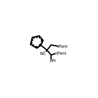 CCCCCC(CCC)C(C#N)(CC(C)CCC)c1ccccc1